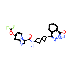 O=C(N[C@H]1CC2(C1)C[C@H](c1n[nH]c(=O)c3ccccc31)C2)c1cnc2cc(OC(F)F)ccn12